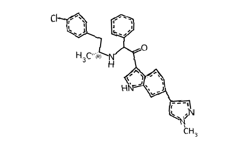 C[C@H](Cc1ccc(Cl)cc1)NC(C(=O)c1c[nH]c2cc(-c3cnn(C)c3)ccc12)c1ccccc1